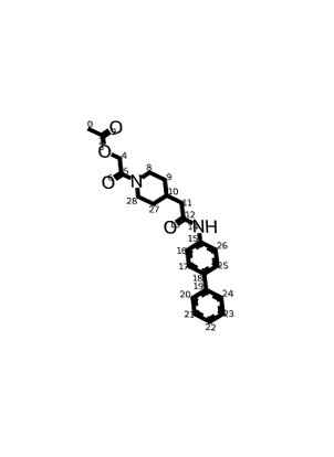 CC(=O)OCC(=O)N1CCC(CC(=O)Nc2ccc(-c3ccccc3)cc2)CC1